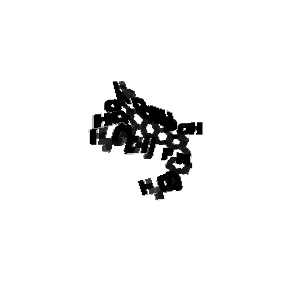 COC1CCN(Cc2cc(O)c3c(c2F)C[C@H]2CC4[C@H](N(C)C)C(O)=C(C(N)=O)C(=O)[C@@]4(O)C(O)=C2C3=O)CC1